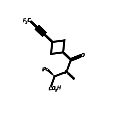 CC(C)[C@@H](C(=O)O)N(C)C(=O)C1CC(C#CC(F)(F)F)C1